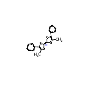 CC1=C(c2ccccc2)S/C(=C2/SC(C)=C(c3ccccc3)S2)S1